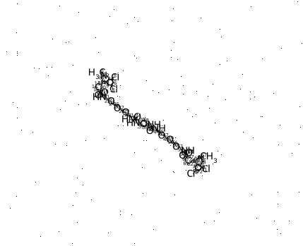 CN1Cc2c(Cl)cc(Cl)cc2[C@H](C2CCCC(S(=O)(=O)NCCOCCOCCOCCNC(=O)Nc3ccc(NC(=O)NCCOCCOCCOCCNS(=O)(=O)C4CCCC([C@@H]5CN(C)Cc6c(Cl)cc(Cl)cc65)C4)cc3)C2)C1